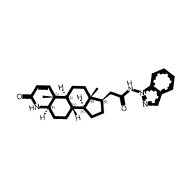 C[C@]12C=CC(=O)N[C@@H]1CC[C@@H]1[C@@H]2CC[C@]2(C)[C@@H](CC(=O)Nn3ncc4ccccc43)CC[C@@H]12